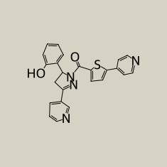 O=C(c1ccc(-c2ccncc2)s1)N1N=C(c2cccnc2)CC1c1ccccc1O